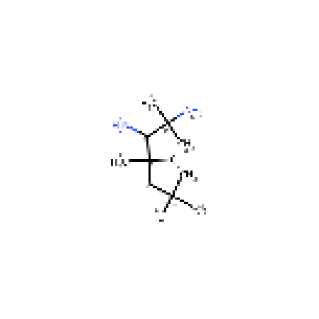 CC(C)(C)CC(C)(C)C(N)C(C)(C)N